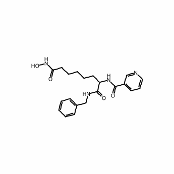 O=C(CCCCCC(NC(=O)c1cccnc1)C(=O)NCc1ccccc1)NO